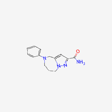 NC(=O)c1cc2n(n1)CCCN(c1ccccc1)C2